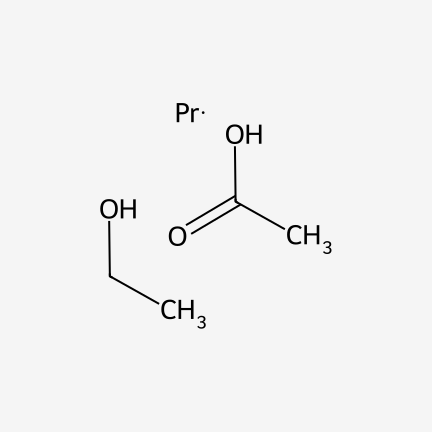 CC(=O)O.CCO.[Pr]